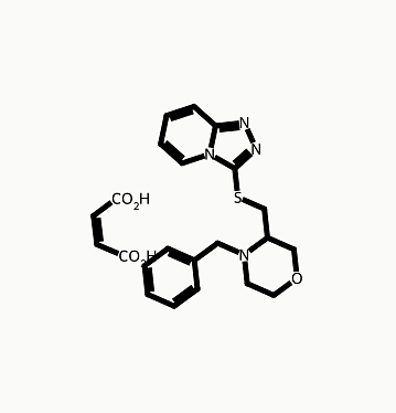 O=C(O)/C=C\C(=O)O.c1ccc(CN2CCOCC2CSc2nnc3ccccn23)cc1